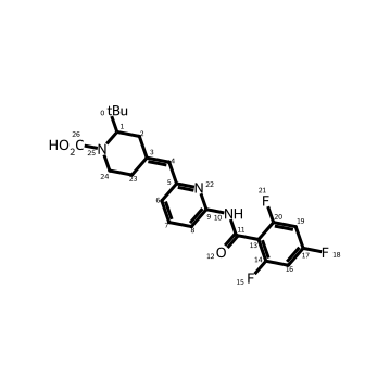 CC(C)(C)C1C/C(=C/c2cccc(NC(=O)c3c(F)cc(F)cc3F)n2)CCN1C(=O)O